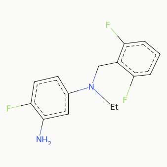 CCN(Cc1c(F)cccc1F)c1ccc(F)c(N)c1